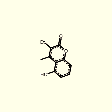 CCc1c(C)c2c(O)cccc2oc1=O